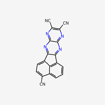 N#Cc1nc2nc3c(nc2nc1C#N)-c1ccc(C#N)c2cccc-3c12